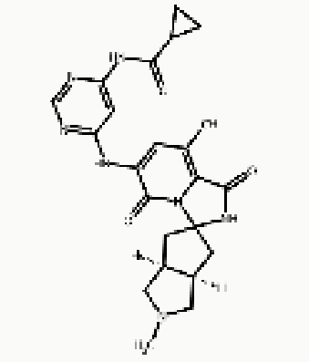 Cc1cc(Nc2cc(NC(=O)C3CC3)ncn2)c(=O)n2c1C(=O)NC21C[C@H]2CN(C)C[C@H]2C1